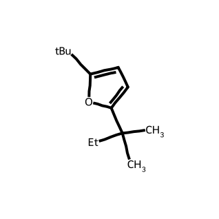 CCC(C)(C)c1ccc(C(C)(C)C)o1